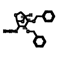 [N-]=[N+]=NC1C2OC[C@@H](O2)[C@@H](OCc2ccccc2)[C@@H]1OCc1ccccc1